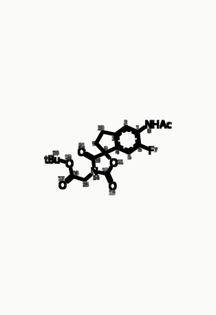 CC(=O)Nc1cc2c(cc1F)C1(CC2)OC(=O)N(CC(=O)OC(C)(C)C)C1=O